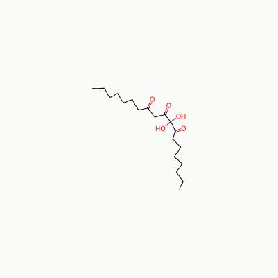 CCCCCCCC(=O)CC(=O)C(O)(O)C(=O)CCCCCCC